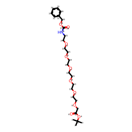 CC(C)(C)OC(=O)COCCOCCOCCOCCOCCOCCNC(=O)OCc1ccccc1